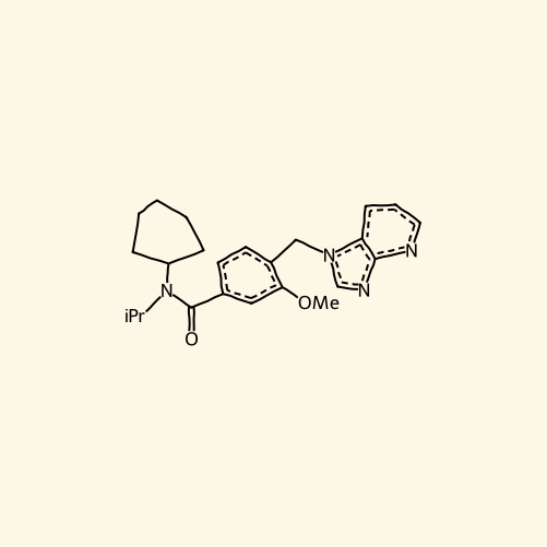 COc1cc(C(=O)N(C(C)C)C2CCCCC2)ccc1Cn1cnc2ncccc21